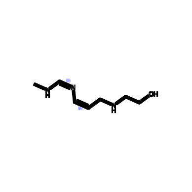 CN/C=N\C=C/CNCCO